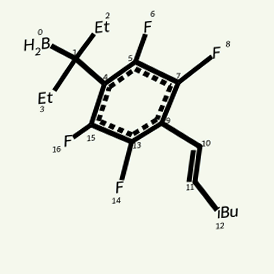 BC(CC)(CC)c1c(F)c(F)c(/C=C/C(C)CC)c(F)c1F